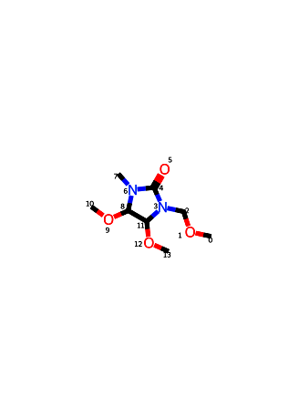 COCN1C(=O)N(C)C(OC)C1OC